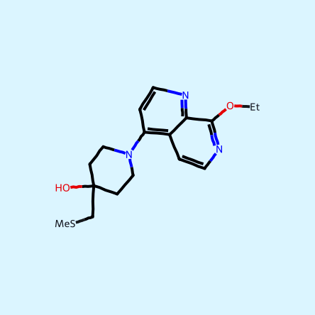 CCOc1nccc2c(N3CCC(O)(CSC)CC3)ccnc12